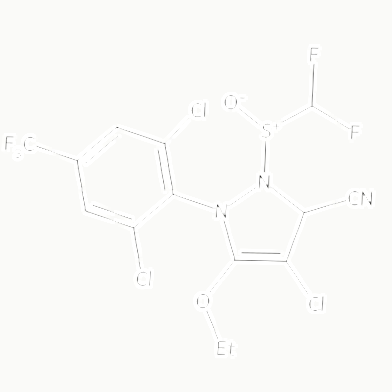 CCOC1=C(Cl)C(C#N)N([S+]([O-])C(F)F)N1c1c(Cl)cc(C(F)(F)F)cc1Cl